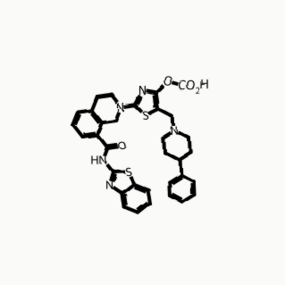 O=C(O)Oc1nc(N2CCc3cccc(C(=O)Nc4nc5ccccc5s4)c3C2)sc1CN1CCC(c2ccccc2)CC1